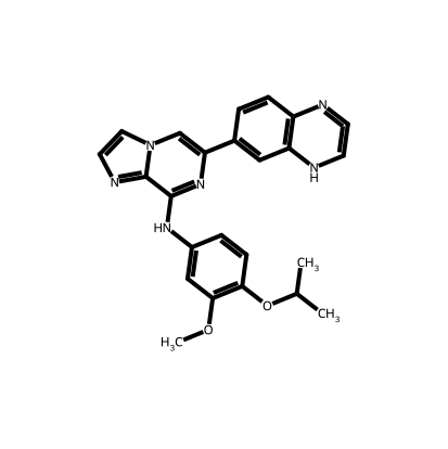 COc1cc(Nc2nc(-c3ccc4c(c3)NC=C=N4)cn3ccnc23)ccc1OC(C)C